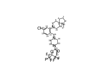 CN1CCCC12CCN(c1cc(Cl)ccc1CN1CCN(C(=O)OC(C(F)(F)F)C(F)(F)F)CC1)CC2